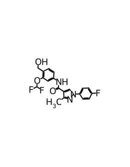 Cc1nn(-c2ccc(F)cc2)cc1C(=O)Nc1ccc(CO)c(OC(F)F)c1